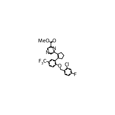 COC(=O)c1cncc(C2=C(c3cc(C(F)(F)F)ccc3OCc3ccc(F)cc3Cl)CCC2)n1